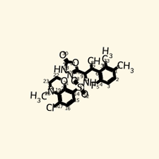 Cc1ccc(F)c(C(C)C(NS(=O)(=O)c2ccc(Cl)c3c2OCCN3C)c2n[nH]c(=O)o2)c1C